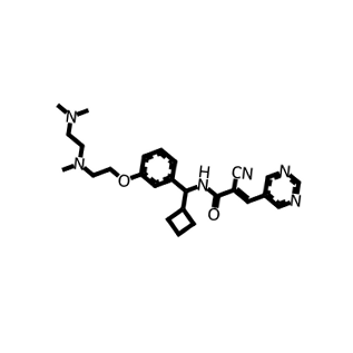 CN(C)CCN(C)CCOc1cccc(C(NC(=O)/C(C#N)=C/c2cncnc2)C2CCC2)c1